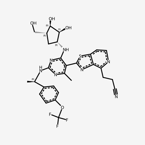 Cc1nc(N[C@H](C)c2ccc(OC(F)(F)F)cc2)nc(N[C@@H]2C[C@H](CO)[C@@H](O)[C@H]2O)c1-c1nc2c(CCC#N)nccc2s1